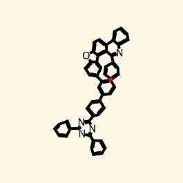 c1ccc(-c2nc(-c3ccccc3)nc(-c3ccc(-c4cccc(-c5ccc6oc7ccc8c9ccccc9nc(-c9ccccc9)c8c7c6c5)c4)cc3)n2)cc1